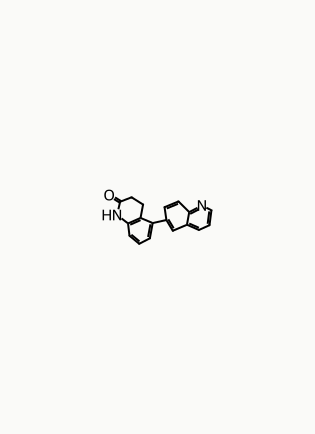 O=C1CCc2c(cccc2-c2ccc3ncccc3c2)N1